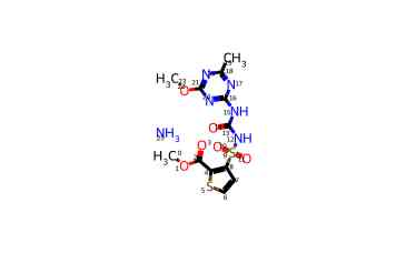 COC(=O)c1sccc1S(=O)(=O)NC(=O)Nc1nc(C)nc(OC)n1.N